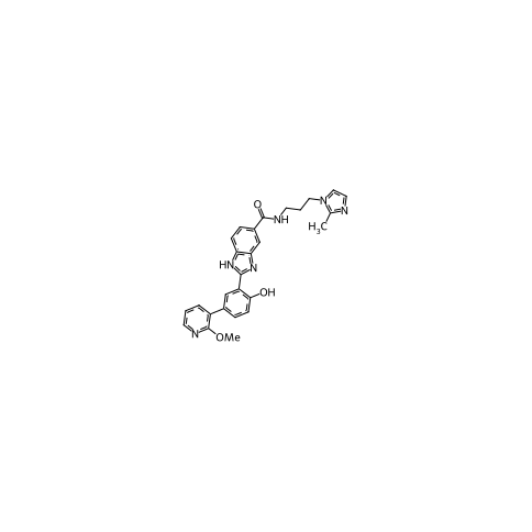 COc1ncccc1-c1ccc(O)c(-c2nc3cc(C(=O)NCCCn4ccnc4C)ccc3[nH]2)c1